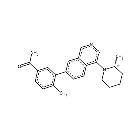 Cc1ccc(C(N)=O)cc1-c1ccc2c(N3CCCC[C@H]3C)nncc2c1